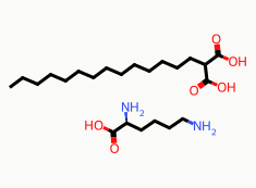 CCCCCCCCCCCCCCC(C(=O)O)C(=O)O.NCCCC[C@H](N)C(=O)O